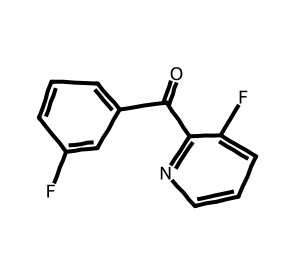 O=C(c1cccc(F)c1)c1ncccc1F